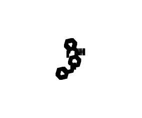 Ic1ccccc1NC1CCN(Cc2ccccc2)CC1